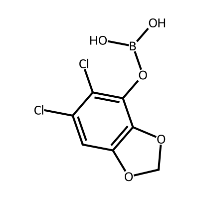 OB(O)Oc1c(Cl)c(Cl)cc2c1OCO2